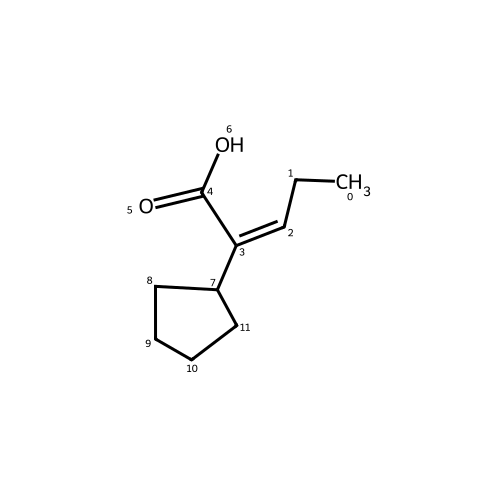 CCC=C(C(=O)O)C1CCCC1